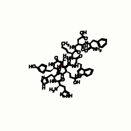 CCCC[C@H](NC(=O)[C@H](Cc1c[nH]c2ccccc12)NC(=O)CNC(=O)[C@H](Cc1ccc(O)cc1)NC(=O)[C@H](C)NC(=O)[C@H](CCC(=O)O)NC(=O)[C@H](Cc1c[nH]cn1)NC(=O)[C@@H](N)Cc1c[nH]cn1)C(=O)N[C@@H](CC(=O)O)C(=O)N[C@@H](Cc1ccccc1)C(N)=O